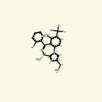 C[C@@H]1N=C(c2ncccc2F)c2c(ccc(C(F)(F)F)c2Cl)-n2cc(CO)nc21